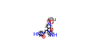 CC(C)(C)OC(=O)N1CCC(C(CCN2CCNCC2=O)N2CCNCC2=O)CC1